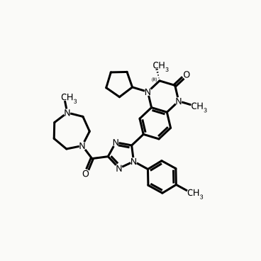 Cc1ccc(-n2nc(C(=O)N3CCCN(C)CC3)nc2-c2ccc3c(c2)N(C2CCCC2)[C@H](C)C(=O)N3C)cc1